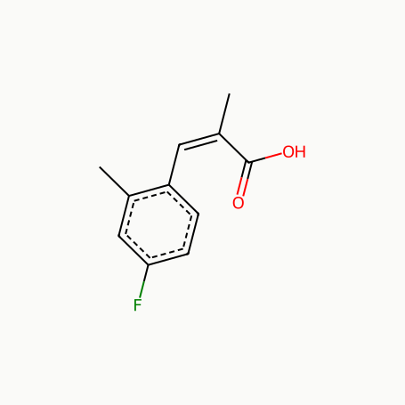 CC(=Cc1ccc(F)cc1C)C(=O)O